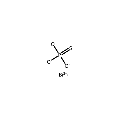 [Bi+3].[O-]P([O-])([O-])=S